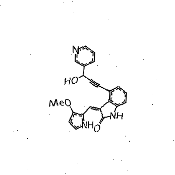 COc1cc[nH]c1C=C1C(=O)Nc2cccc(C#CC(O)c3cccnc3)c21